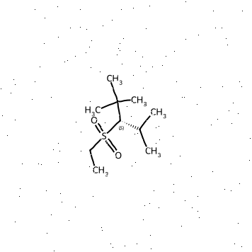 CCS(=O)(=O)[C@@H](C(C)C)C(C)(C)C